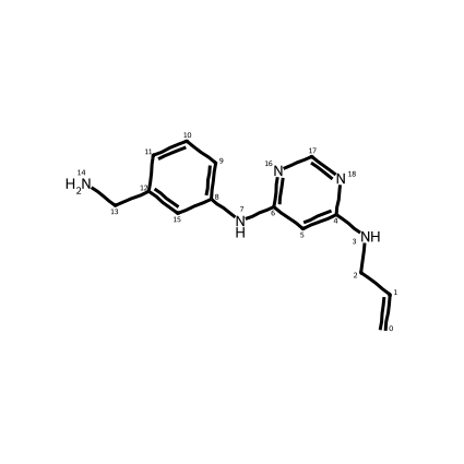 C=CCNc1cc(Nc2cccc(CN)c2)ncn1